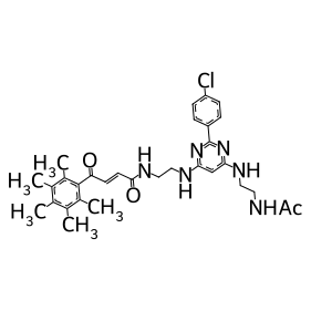 CC(=O)NCCNc1cc(NCCNC(=O)/C=C/C(=O)c2c(C)c(C)c(C)c(C)c2C)nc(-c2ccc(Cl)cc2)n1